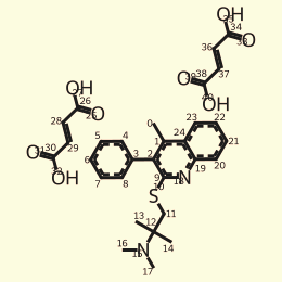 Cc1c(-c2ccccc2)c(SCC(C)(C)N(C)C)nc2ccccc12.O=C(O)C=CC(=O)O.O=C(O)C=CC(=O)O